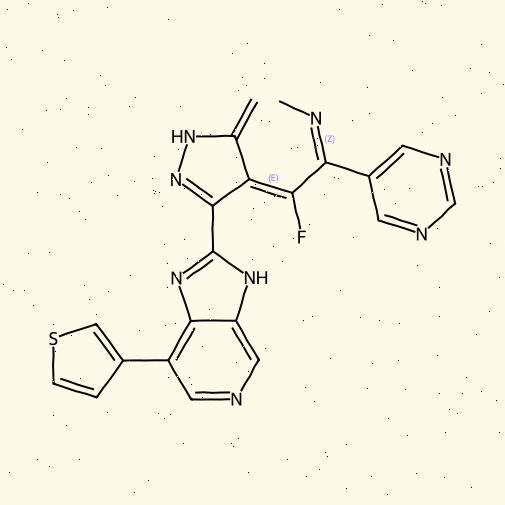 C=c1[nH]nc(-c2nc3c(-c4ccsc4)cncc3[nH]2)/c1=C(F)/C(=N\C)c1cncnc1